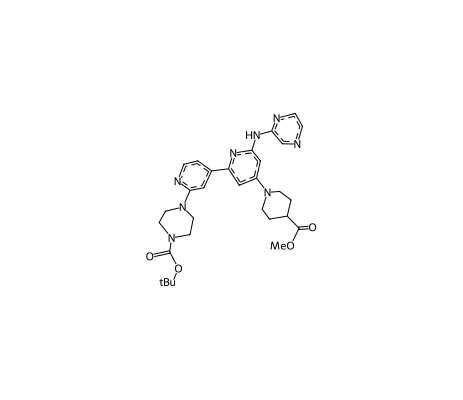 COC(=O)C1CCN(c2cc(Nc3cnccn3)nc(-c3ccnc(N4CCN(C(=O)OC(C)(C)C)CC4)c3)c2)CC1